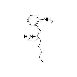 CCCCC[C@@H](N)Sc1ccccc1N